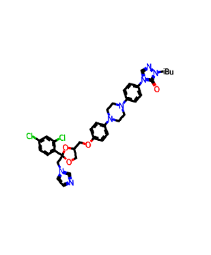 CCC(C)n1ncn(-c2ccc(N3CCN(c4ccc(OCC5COC(Cn6ccnc6)(c6ccc(Cl)cc6Cl)O5)cc4)CC3)cc2)c1=O